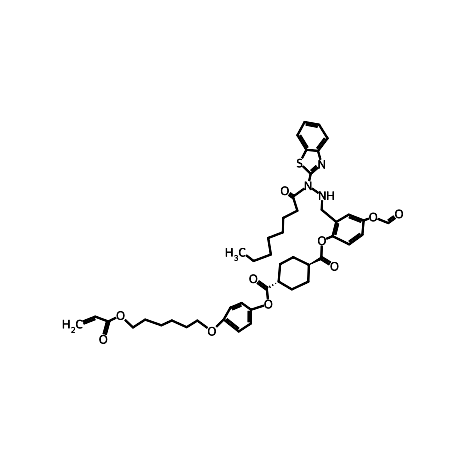 C=CC(=O)OCCCCCCOc1ccc(OC(=O)[C@H]2CC[C@H](C(=O)Oc3ccc(OC=O)cc3CNN(C(=O)CCCCCCC)c3nc4ccccc4s3)CC2)cc1